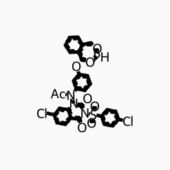 CC(=O)N(c1cccc(Oc2o[pH]occ3ccccc23)c1)n1c(=O)n(S(=O)(=O)c2ccc(Cl)cc2)c(=O)c2ccc(Cl)cc21